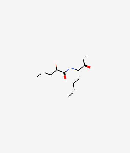 COC(=O)[C@H](CC[Se]C)NC(=O)C(O)C[Se]C